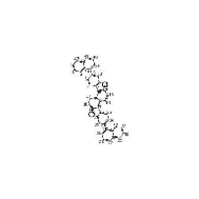 c1ccc2c(-c3ccc4c(c3)oc3ccc5c(ccc6oc7cc(-c8cccc9ccccc89)ccc7c65)c34)cccc2c1